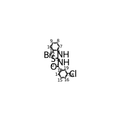 O=C(NC(=S)Nc1ccccc1Br)c1cccc(Cl)c1